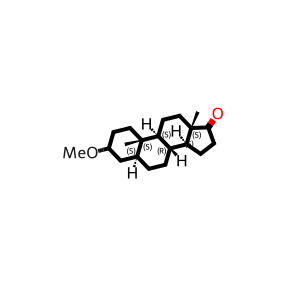 COC1CC[C@@]2(C)[C@@H](CC[C@@H]3[C@@H]2CC[C@]2(C)C(=O)CC[C@@H]32)C1